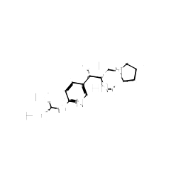 CC(C)Oc1ccc([C@@H](O)[C@@H](CN2CCCC2)NCl)cn1